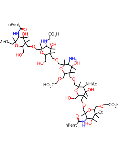 CCCCCC(=O)NC1C(C)(COCC2(C)C(CO)OC(C)(COCC3(C)C(COCC(=O)O)OC(C)(COCC4(C)C(CO)OC(C)(COCC5(C)C(CO)OC(C)(COC)C(NC(=O)CCCCC)C5(C)O)C(NCC(=O)O)C4(C)O)C(N)C3(C)O)C(NC(C)=O)C2(C)O)OC(COCC(=O)O)C(C)(CC)C1(C)O